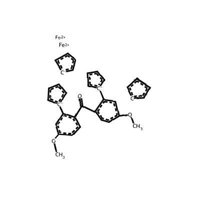 COc1ccc(C(=O)c2ccc(OC)cc2-[c-]2cccc2)c(-[c-]2cccc2)c1.[Fe+2].[Fe+2].c1cc[cH-]c1.c1cc[cH-]c1